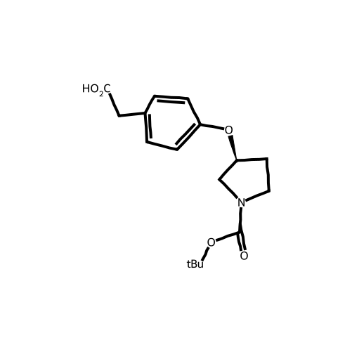 CC(C)(C)OC(=O)N1CC[C@H](Oc2ccc(CC(=O)O)cc2)C1